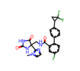 Cn1ccnc1C1(CNC(=O)c2cc(F)ccc2-c2ccc(C3CC3(F)F)cc2)NC(=O)NC1=O